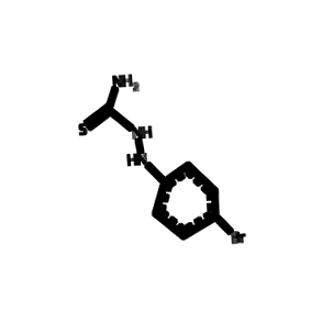 NC(=S)NNc1ccc(Br)cc1